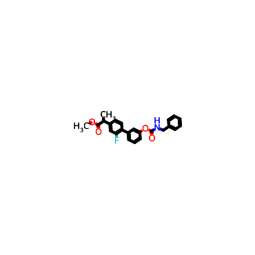 COC(=O)C(C)c1ccc(-c2cccc(OC(=O)NCc3ccccc3)c2)c(F)c1